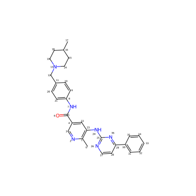 Cc1ncc(C(=O)Nc2ccc(CN3CCC(C)CC3)cc2)cc1Nc1nccc(-c2ccccc2)n1